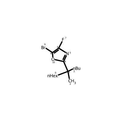 CCCCCCC(C)(CCCC)c1nc(F)c(Br)o1